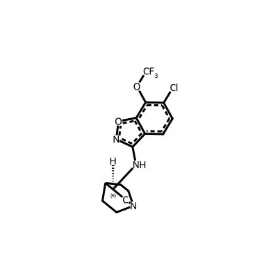 FC(F)(F)Oc1c(Cl)ccc2c(N[C@H]3CN4CCC3CC4)noc12